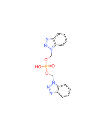 O=P(O)(OCn1nnc2ccccc21)OCn1nnc2ccccc21